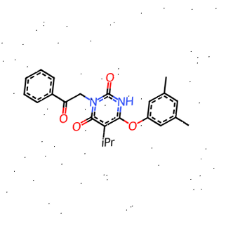 Cc1cc(C)cc(Oc2[nH]c(=O)n(CC(=O)c3ccccc3)c(=O)c2C(C)C)c1